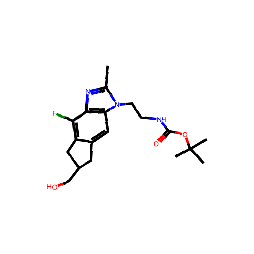 Cc1nc2c(F)c3c(cc2n1CCNC(=O)OC(C)(C)C)CC(CO)C3